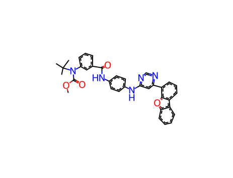 COC(=O)N(c1cccc(C(=O)Nc2ccc(Nc3cc(-c4cccc5c4oc4ccccc45)ncn3)cc2)c1)C(C)(C)C